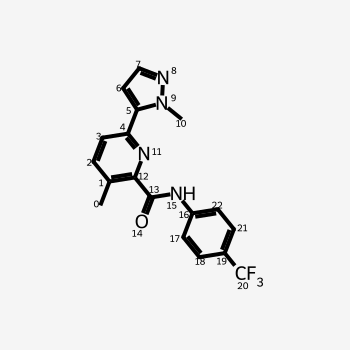 Cc1ccc(-c2ccnn2C)nc1C(=O)Nc1ccc(C(F)(F)F)cc1